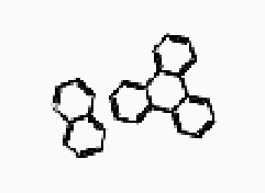 c1ccc2c(c1)c1ccccc1c1ccccc21.c1ccc2ncccc2c1